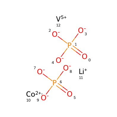 O=P([O-])([O-])[O-].O=P([O-])([O-])[O-].[Co+2].[Li+].[V+5]